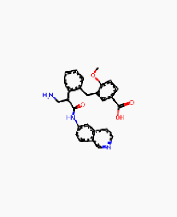 COc1ccc(C(=O)O)cc1Cc1ccccc1C(CN)C(=O)Nc1ccc2cnccc2c1